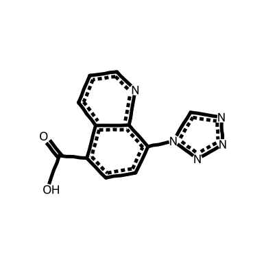 O=C(O)c1ccc(-n2cnnn2)c2ncccc12